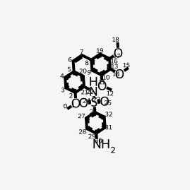 COc1ccc(/C=C\c2cc(OC)c(OC)c(OC)c2)cc1NS(=O)(=O)c1ccc(N)cc1